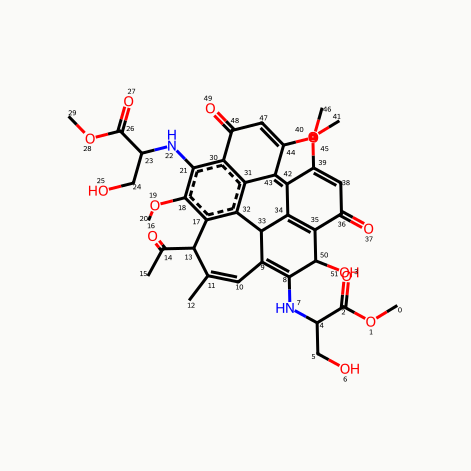 COC(=O)C(CO)NC1=C2C=C(C)C(C(C)=O)c3c(OC)c(NC(CO)C(=O)OC)c4c5c3C2C2=C(C(=O)C=C(OC)C2=C5C(OC)=CC4=O)C1O